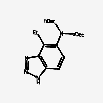 CCCCCCCCCCN(CCCCCCCCCC)c1ccc2[nH]nnc2c1CC